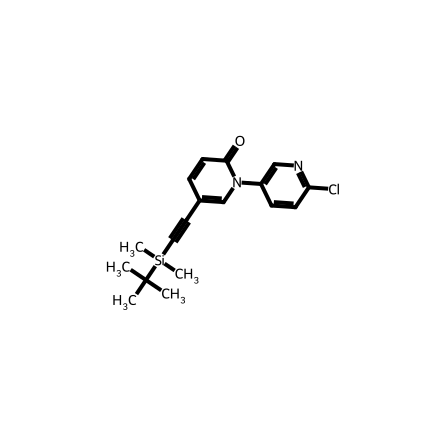 CC(C)(C)[Si](C)(C)C#Cc1ccc(=O)n(-c2ccc(Cl)nc2)c1